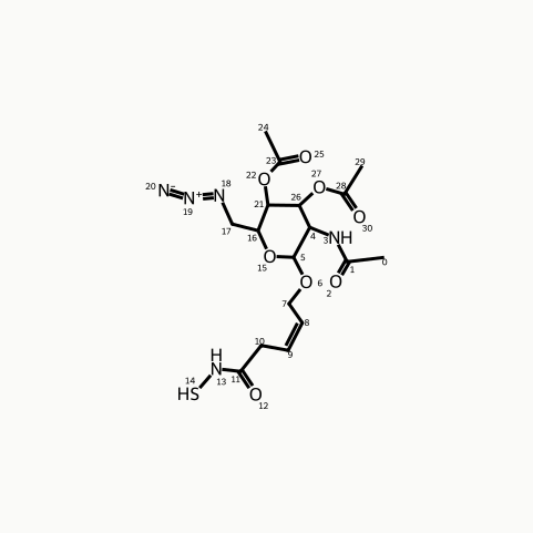 CC(=O)NC1C(OC/C=C\CC(=O)NS)OC(CN=[N+]=[N-])C(OC(C)=O)C1OC(C)=O